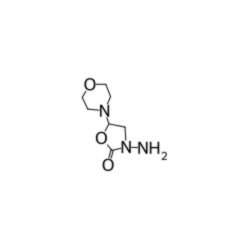 NN1CC(N2CCOCC2)OC1=O